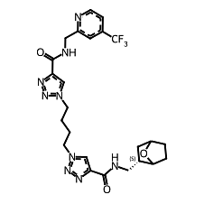 O=C(NCc1cc(C(F)(F)F)ccn1)c1cn(CCCCn2cc(C(=O)NC[C@@H]3CC4CCC3O4)nn2)nn1